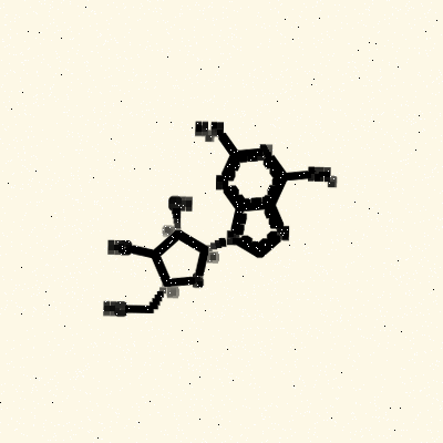 Nc1nc(N)c2ncn([C@@H]3S[C@H](CO)C(O)[C@@H]3O)c2n1